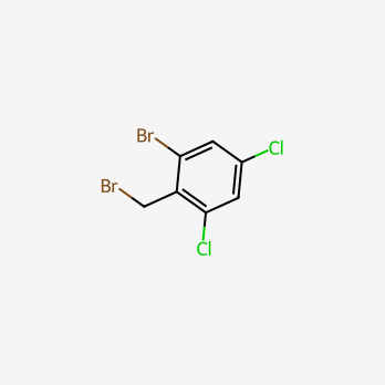 Clc1cc(Cl)c(CBr)c(Br)c1